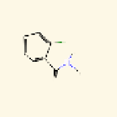 [CH]=C(c1ccccc1F)N(C)C